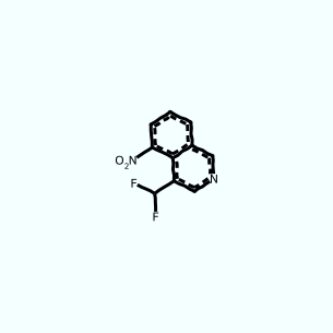 O=[N+]([O-])c1cccc2cncc(C(F)F)c12